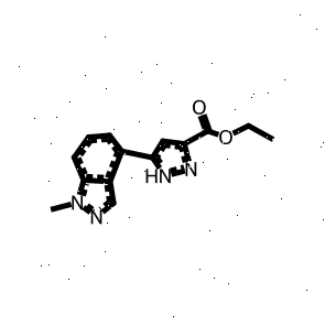 CCOC(=O)c1cc(-c2cccc3c2cnn3C)[nH]n1